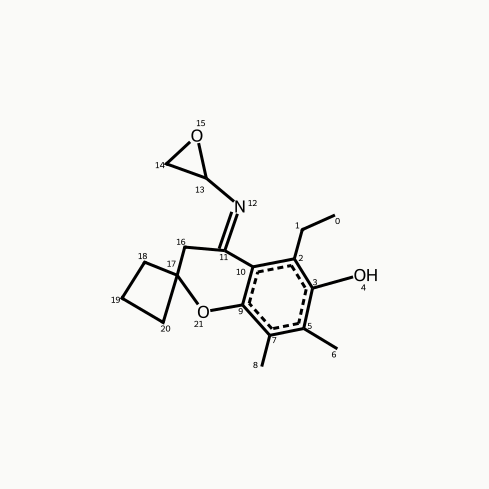 CCc1c(O)c(C)c(C)c2c1/C(=N/C1CO1)CC1(CCC1)O2